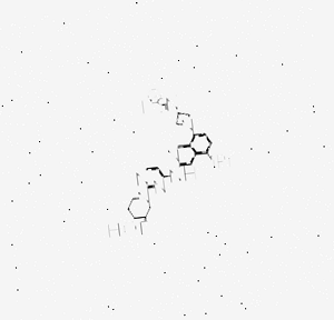 CC(C)c1ccc(N2CC(N(C)[SH]=O)C2)c2cnc(Nc3ccnc(N4CC[C@@H](O)[C@](C)(F)C4)n3)cc12